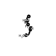 CN1CCN(CC#Cc2cc3nccc(Oc4ccc(-c5cnc(Cc6ccccc6)[nH]c5=O)cc4F)c3s2)CC1